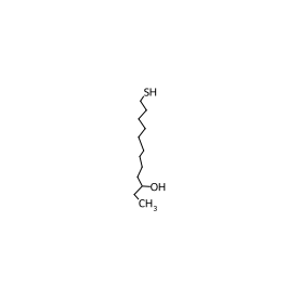 CCC(O)CCCCCCCCCS